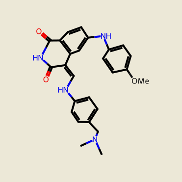 COc1ccc(Nc2ccc3c(c2)C(=CNc2ccc(CN(C)C)cc2)C(=O)NC3=O)cc1